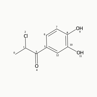 CC(Cl)C(=O)c1ccc(O)c(O)c1